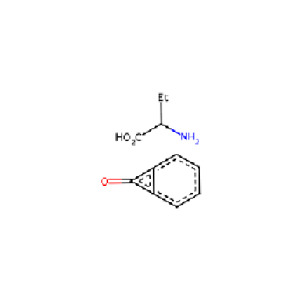 CCC(N)C(=O)O.O=c1c2ccccc12